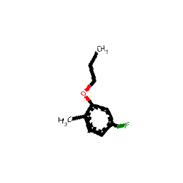 CCCOc1cc(F)ccc1C